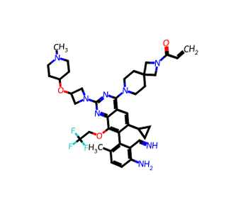 C=CC(=O)N1CC2(CCN(c3nc(N4CC(OC5CCN(C)CC5)C4)nc4c(OCC(F)(F)F)c(-c5c(C)ccc(N)c5C=N)c(C5CC5)cc34)CC2)C1